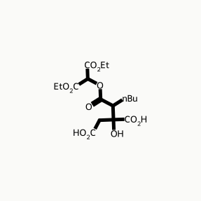 CCCCC(C(=O)OC(C(=O)OCC)C(=O)OCC)C(O)(CC(=O)O)C(=O)O